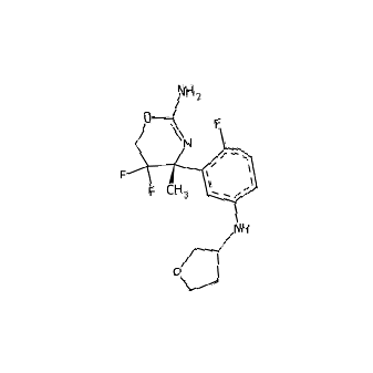 C[C@]1(c2cc(NC3CCOC3)ccc2F)N=C(N)OCC1(F)F